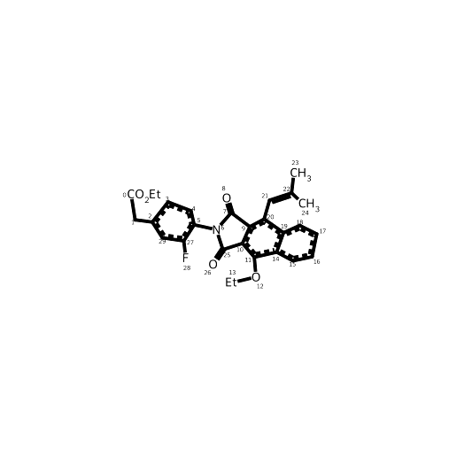 CCOC(=O)Cc1ccc(N2C(=O)c3c(c(OCC)c4ccccc4c3C=C(C)C)C2=O)c(F)c1